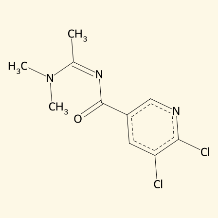 CC(=NC(=O)c1cnc(Cl)c(Cl)c1)N(C)C